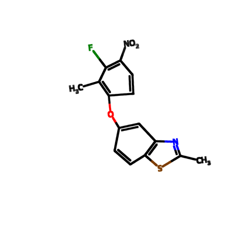 Cc1nc2cc(Oc3ccc([N+](=O)[O-])c(F)c3C)ccc2s1